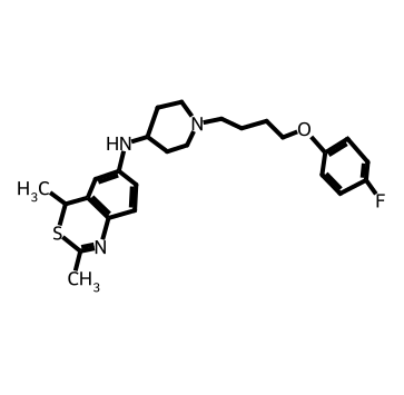 CC1=Nc2ccc(NC3CCN(CCCCOc4ccc(F)cc4)CC3)cc2C(C)S1